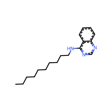 CCCCCCCCCCNc1ncnc2ccccc12